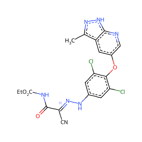 CCOC(=O)NC(=O)/C(C#N)=N/Nc1cc(Cl)c(Oc2cnc3[nH]nc(C)c3c2)c(Cl)c1